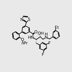 CCCOc1ccccc1-c1cc(C(=O)N[C@@H](Cc2cc(F)cc(F)c2)[C@H](O)CNCc2cccc(CC)c2)cc(-c2nccs2)c1